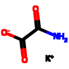 NC(=O)C(=O)[O-].[K+]